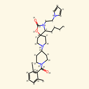 CCCCC1N(CCn2cccc2)C(=O)OC12CCN(C1CCN(C(=O)c3c(C)cccc3C)CC1)CC2